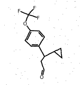 O=CCC(c1ccc(OC(F)(F)F)cc1)C1CC1